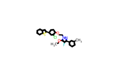 CCOc1c(F)c(-c2cccc(C)c2)nn1CCOc1ccc(-c2cc3ccccc3s2)cc1Cl